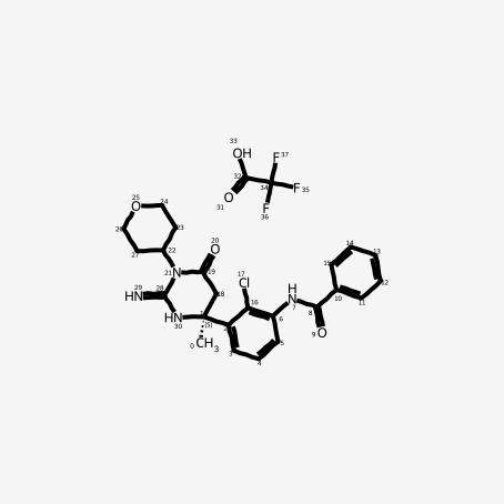 C[C@@]1(c2cccc(NC(=O)c3ccccc3)c2Cl)CC(=O)N(C2CCOCC2)C(=N)N1.O=C(O)C(F)(F)F